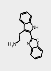 NCCc1c(-c2nc3ccccc3o2)[nH]c2ccccc12